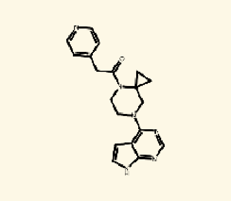 O=C(Cc1ccncc1)N1CCN(c2ncnc3[nH]ccc23)CC12CC2